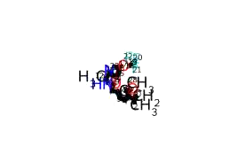 C=C(C)c1ccc(CC(=O)N[C@H](C)c2ccc(OCC(F)(F)F)cn2)cc1OC